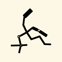 C#CCC(C=C=C)(CCCC)O[Si](C)(C)C